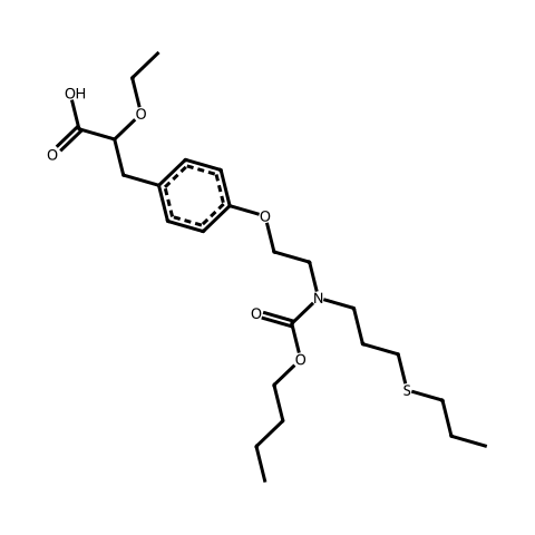 CCCCOC(=O)N(CCCSCCC)CCOc1ccc(CC(OCC)C(=O)O)cc1